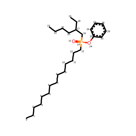 CCCCCCCCCCCCCCP(=O)(CC(CC)CCCC)Oc1ccccc1